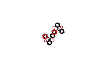 c1ccc([Si]23c4ccccc4Oc4cccc(c42)Oc2cc4cc5c(cc4cc23)Oc2cccc3c2[Si]5(c2ccccc2)c2ccccc2O3)cc1